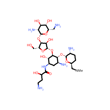 CNC[C@@H]1CC[C@@H](N)[C@@H](O[C@H]2[C@H](O[C@@H]3O[C@H](CO)[C@@H](O[C@H]4O[C@@H](CN)[C@@H](O)[C@H](O)[C@H]4N)[C@H]3O)[C@@H](O)[C@H](NC(=O)C(O)CCN)C[C@@H]2N)O1